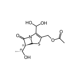 CC(=O)OCC1=C(C(O)O)N2C(=O)[C@H]([C@@H](C)O)C2S1